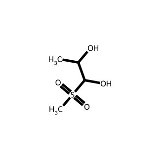 CC(O)C(O)S(C)(=O)=O